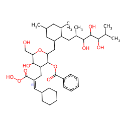 CC1CC(C)C(CC(C)C(O)C(O)C(O)C(C)C)C(CC2OC(CO)C(O)C(C/C(=C\C3CCCCC3)C(=O)OO)C2OC(=O)c2ccccc2)C1